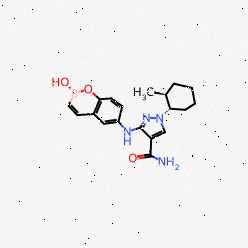 C[C@H]1CCCC[C@@H]1n1cc(C(N)=O)c(Nc2ccc3c(c2)C=CB(O)O3)n1